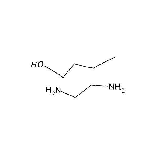 CCCCO.NCCN